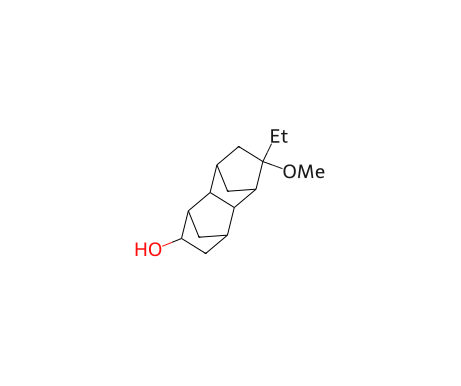 CCC1(OC)CC2CC1C1C3CC(O)C(C3)C21